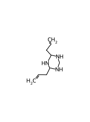 C=CCC1NCNC(CC=C)N1